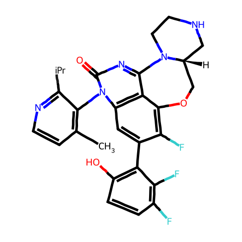 Cc1ccnc(C(C)C)c1-n1c(=O)nc2c3c(c(F)c(-c4c(O)ccc(F)c4F)cc31)OC[C@H]1CNCCN21